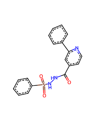 O=C(NNS(=O)(=O)c1ccccc1)c1ccnc(-c2ccccc2)c1